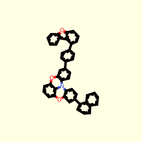 c1cc2c3c(c1)Oc1cc(-c4cccc5ccccc45)ccc1N3c1ccc(-c3ccc(-c4cccc5oc6ccccc6c45)cc3)cc1O2